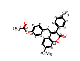 COc1ccc2c(Cc3ccc(OC(=O)C(C)(C)C)cc3)c(-c3ccc(C(F)(F)F)cc3)c(=O)oc2c1